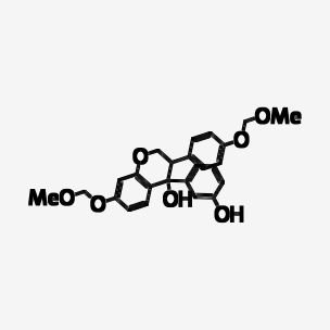 COCOc1ccc(C2COc3cc(OCOC)ccc3C2(O)c2cccc(O)c2)cc1